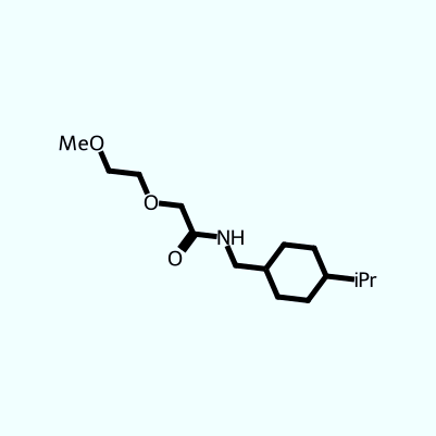 COCCOCC(=O)NCC1CCC(C(C)C)CC1